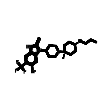 CCCO[C@H]1CC[C@](C)(N2CCC(n3c(=O)[nH]c4cc(C(F)(F)F)c(Br)cc43)CC2)CC1